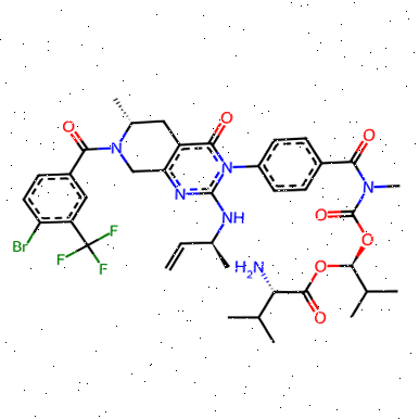 C=C[C@H](C)Nc1nc2c(c(=O)n1-c1ccc(C(=O)N(C)C(=O)O[C@H](OC(=O)[C@@H](N)C(C)C)C(C)C)cc1)C[C@@H](C)N(C(=O)c1ccc(Br)c(C(F)(F)F)c1)C2